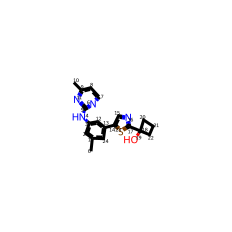 Cc1cc(Nc2nccc(C)n2)cc(-c2cnc(C3(O)CCC3)s2)c1